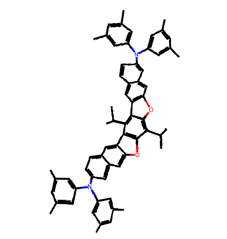 Cc1cc(C)cc(N(c2cc(C)cc(C)c2)c2ccc3cc4c(cc3c2)oc2c(C(C)C)c3oc5cc6cc(N(c7cc(C)cc(C)c7)c7cc(C)cc(C)c7)ccc6cc5c3c(C(C)C)c24)c1